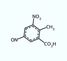 Cc1c(C(=O)O)cc(N=O)cc1[N+](=O)[O-]